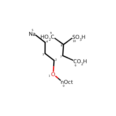 CCCCCCCCOCC[CH2][Na].O=C(O)CC(C(=O)O)S(=O)(=O)O